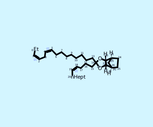 CC/C=C\C/C=C\CCCCCCCCC1(CCC/C=C\CCCCCCC)O[C@@H]2[C@H]3CC[C@H](C3)[C@@H]2O1